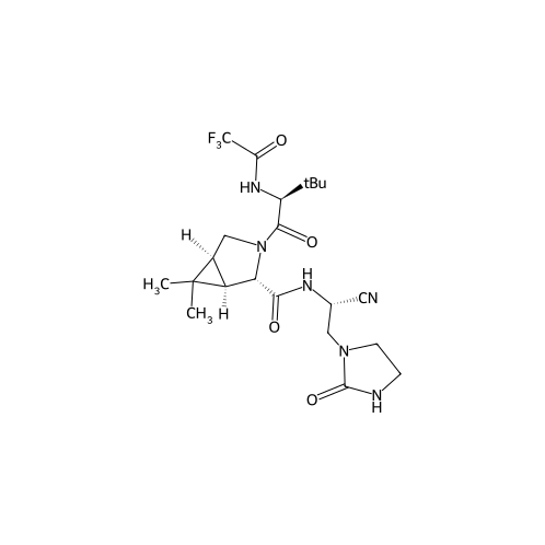 CC(C)(C)[C@H](NC(=O)C(F)(F)F)C(=O)N1C[C@H]2[C@@H]([C@H]1C(=O)N[C@H](C#N)CN1CCNC1=O)C2(C)C